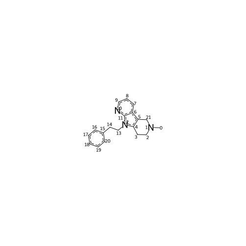 CN1CCc2c(c3cccnc3n2CCc2ccccc2)C1